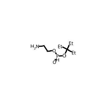 CCC(CC)(CC)O[PH](=O)OCCN